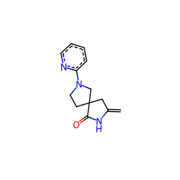 C=C1CC2(CCN(c3ccccn3)C2)C(=O)N1